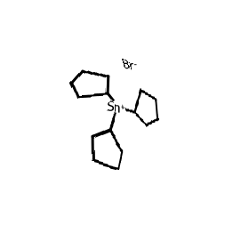 C1CC[CH]([Sn+]([CH]2CCCC2)[CH]2CCCC2)C1.[Br-]